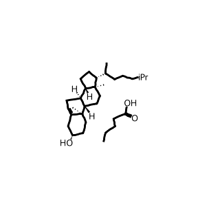 CC(C)CCCC(C)[C@H]1CC[C@H]2[C@@H]3CC=C4C[C@@H](O)CC[C@]4(C)[C@H]3CC[C@]12C.CCCCC(=O)O